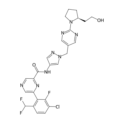 O=C(Nc1cnn(Cc2cnc(N3CCC[C@H]3CCO)nc2)c1)c1cncc(-c2c(C(F)F)ccc(Cl)c2F)n1